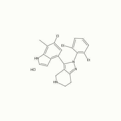 CCc1cccc(CC)c1-n1nc2c(c1-c1cc(Cl)c(C)c3[nH]ccc13)CNCC2.Cl